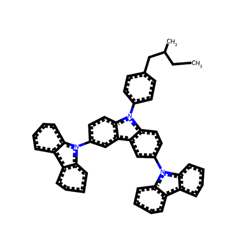 CCC(C)Cc1ccc(-n2c3ccc(-n4c5ccccc5c5ccccc54)cc3c3cc(-n4c5ccccc5c5ccccc54)ccc32)cc1